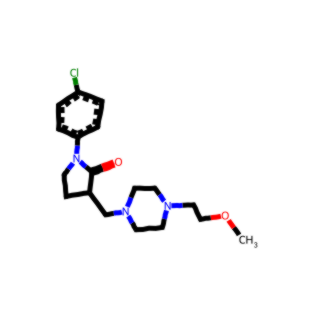 COCCN1CCN(CC2CCN(c3ccc(Cl)cc3)C2=O)CC1